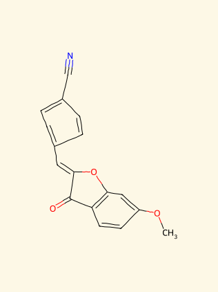 COc1ccc2c(c1)OC(=Cc1ccc(C#N)cc1)C2=O